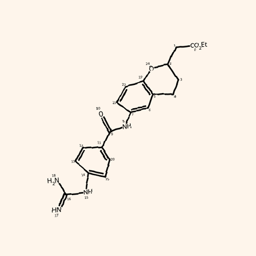 CCOC(=O)CC1CCc2cc(NC(=O)c3ccc(NC(=N)N)cc3)ccc2O1